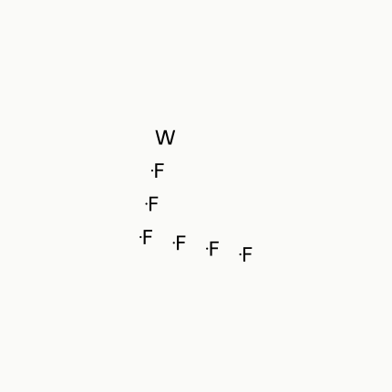 [F].[F].[F].[F].[F].[F].[W]